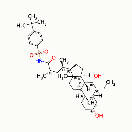 CC[C@H]1[C@@H](O)[C@@H]2[C@H](CC[C@]3(C)[C@@H]([C@H](C)C[C@H](C)C(=O)NS(=O)(=O)c4ccc(C(C)(C)C)cc4)CC[C@@H]23)[C@@]2(C)CC[C@@H](O)C[C@@H]12